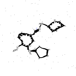 COc1ccc(/C=N/Nc2ccccn2)cc1OC1CCCC1